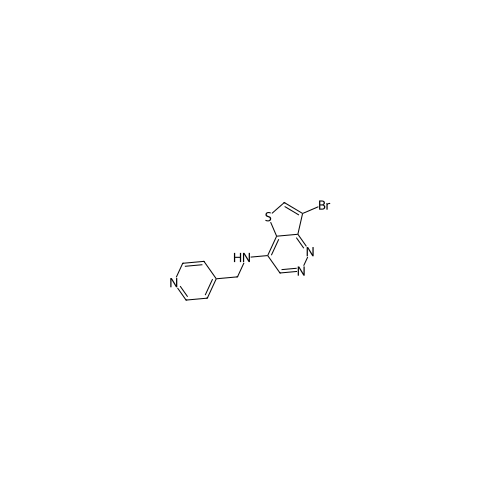 Brc1csc2c(NCc3ccncc3)cnnc12